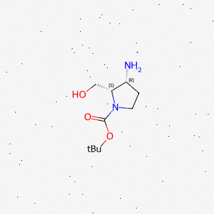 CC(C)(C)OC(=O)N1CC[C@@H](N)[C@H]1CO